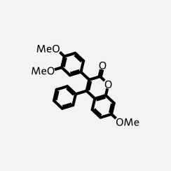 COc1ccc2c(-c3ccccc3)c(-c3ccc(OC)c(OC)c3)c(=O)oc2c1